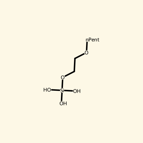 CCCCCOCCO[Si](O)(O)O